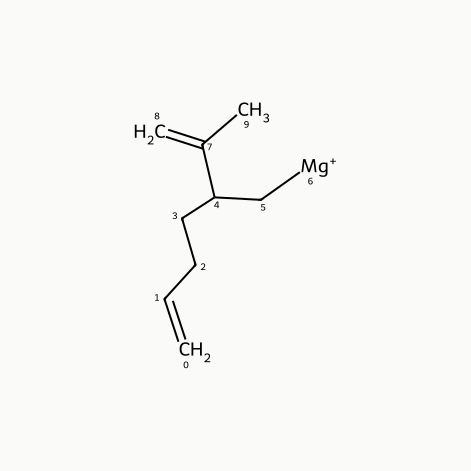 C=CCCC([CH2][Mg+])C(=C)C